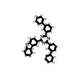 c1ccc(-c2cccc(-c3nc(-c4cccc(-c5ccccc5)c4)nc(-c4ccc5sc6ccccc6c5c4)n3)c2)cc1